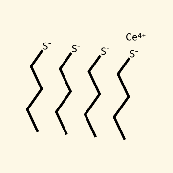 CCCC[S-].CCCC[S-].CCCC[S-].CCCC[S-].[Ce+4]